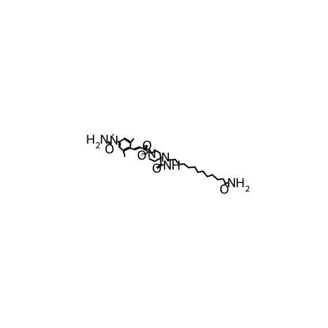 Cc1cc(N(C)C(N)=O)cc(C)c1C=CS(=O)(=O)N1CCC2(CC1)N=C(CCCCCCCCCCCC(N)=O)NC2=O